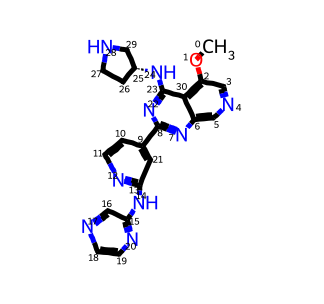 COc1cncc2nc(-c3ccnc(Nc4cnccn4)c3)nc(N[C@@H]3CCNC3)c12